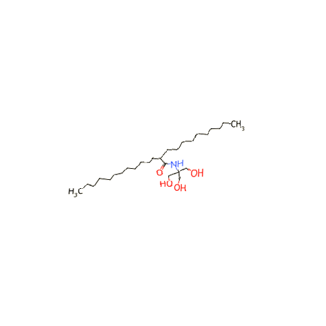 CCCCCCCCCCCCC(CCCCCCCCCC)C(=O)NC(CO)(CO)CO